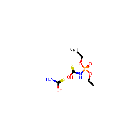 CCOP(=O)(NC(O)=S)OCC.NC(O)=S.[NaH]